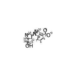 COC(=O)c1cccc2c1cnn2-c1cncc(C(C)(C)O)c1